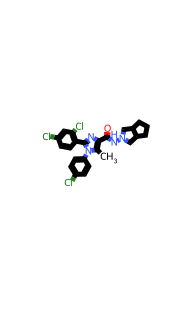 Cc1c(C(=O)NN2CC3CCCC3C2)nc(-c2ccc(Cl)cc2Cl)n1-c1ccc(Cl)cc1